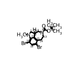 CN1C[C@@H]2CN(C(=O)OC(C)(C)C)CCc3c(Br)cc(Br)c1c32